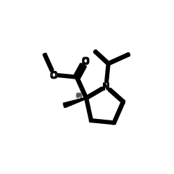 COC(=O)[C@@]1(C)CCCN1C(C)C